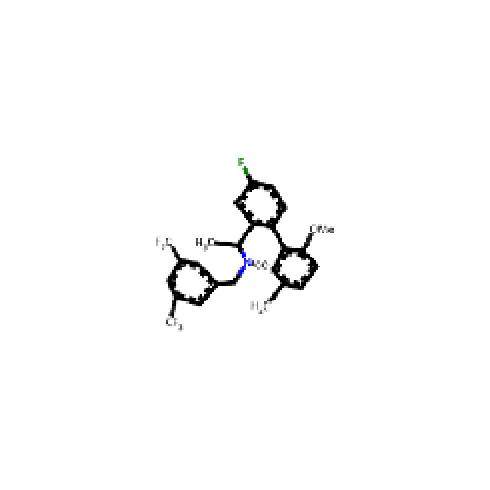 COc1ccc(C)cc1-c1ccc(F)cc1C(C)N(Cc1cc(C(F)(F)F)cc(C(F)(F)F)c1)C(=O)O